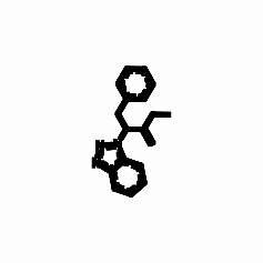 C=C(CC)C(Cc1ccccc1)n1nnc2ccccc21